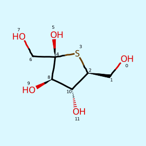 OC[C@@H]1S[C@@](O)(CO)[C@H](O)[C@H]1O